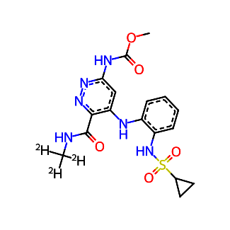 [2H]C([2H])([2H])NC(=O)c1nnc(NC(=O)OC)cc1Nc1ccccc1NS(=O)(=O)C1CC1